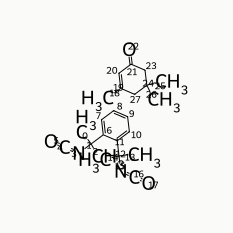 CC(C)(N=C=O)c1ccccc1C(C)(C)N=C=O.CC1=CC(=O)CC(C)(C)C1